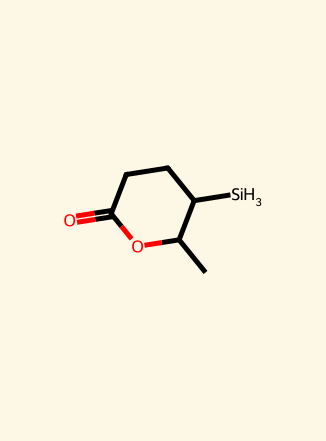 CC1OC(=O)CCC1[SiH3]